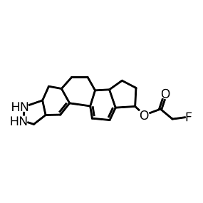 O=C(CF)OC1CCC2C1=CC=C1C3=CC4CNNC4CC3CCC12